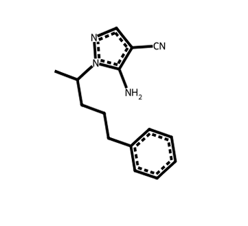 CC(CCCc1ccccc1)n1ncc(C#N)c1N